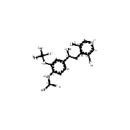 [2H]C([2H])([2H])Oc1cc(C(O)Cc2c(Cl)cncc2Cl)ccc1OC(F)F